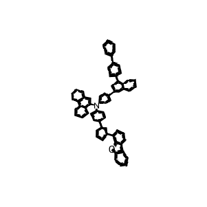 c1ccc(-c2ccc(-c3cc(-c4ccc(N(c5ccc(-c6cccc(-c7cccc8c7oc7ccccc78)c6)cc5)c5cc6ccccc6c6ccccc56)cc4)cc4ccccc34)cc2)cc1